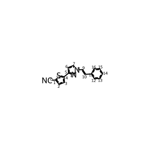 N#Cc1ccc(-c2ccn(C=Cc3ccccc3)n2)s1